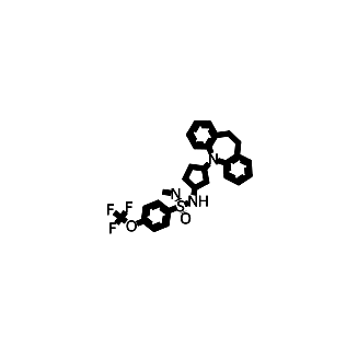 CN=S(=O)(NC1CCC(N2c3ccccc3CCc3ccccc32)C1)c1ccc(OC(F)(F)F)cc1